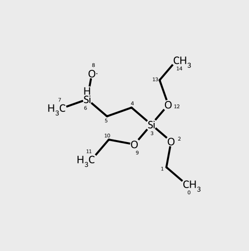 CCO[Si](CC[SiH](C)[O])(OCC)OCC